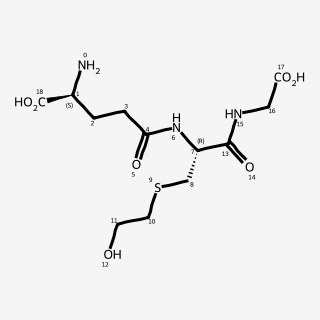 N[C@@H](CCC(=O)N[C@@H](CSCCO)C(=O)NCC(=O)O)C(=O)O